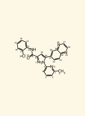 Cc1cccc(-n2nc(C(=O)Nc3ccccc3Cl)cc2-c2ccc3nccnc3c2)n1